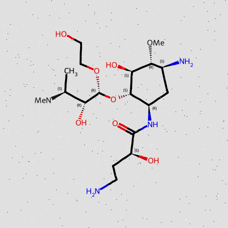 CN[C@@H](C)[C@@H](O)[C@H](OCCO)O[C@@H]1[C@@H](O)[C@H](OC)[C@@H](N)C[C@H]1NC(=O)[C@@H](O)CCN